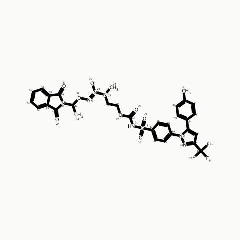 Cc1ccc(-c2cc(C(F)(F)F)nn2-c2ccc(S(=O)(=O)NC(=O)OCCN(C)[N+]([O-])=NOC(C)N3C(=O)c4ccccc4C3=O)cc2)cc1